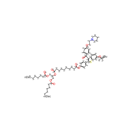 CCCCCCCCCCCCCCCC(=O)OCC(COC(=O)CCCCCCCCCCCCCCC)OC(=O)CCCCCCCCC(=O)Oc1ccc(-c2sc3cc(O[Si](C)(C)C(C)(C)C)ccc3c2C(=O)c2ccc(OCCN3CCCCC3)cc2)cc1